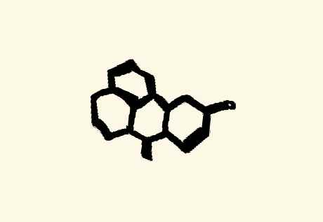 C=C1C2C=CC(=O)CC2c2cccc3c2N1CCC3